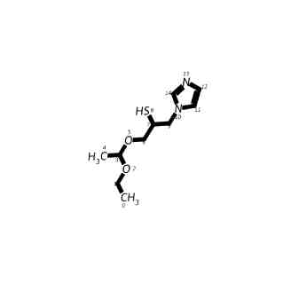 CCOC(C)OCC(S)Cn1ccnc1